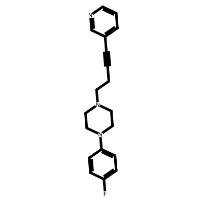 Fc1ccc(N2CCN(CCC#Cc3cccnc3)CC2)cc1